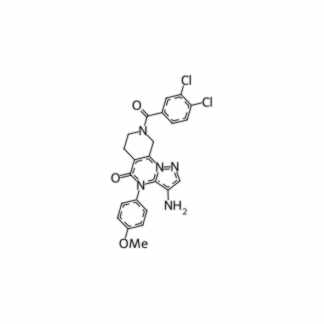 COc1ccc(-n2c(=O)c3c(n4ncc(N)c24)CN(C(=O)c2ccc(Cl)c(Cl)c2)CC3)cc1